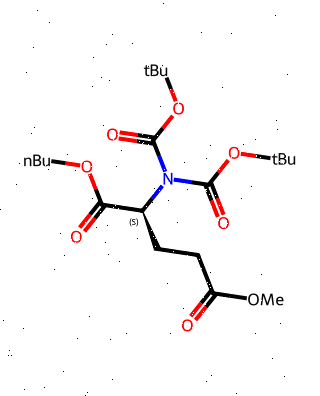 CCCCOC(=O)[C@H](CCC(=O)OC)N(C(=O)OC(C)(C)C)C(=O)OC(C)(C)C